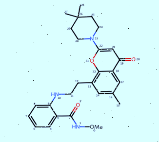 CONC(=O)c1ccccc1NCCc1cc(C)cc2c(=O)cc(N3CCC(C)(C)CC3)oc12